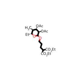 CCOC(=O)C(CCCOC1O[C@H](CC)[C@@H](C)[C@H](OC(C)=O)[C@H]1OC(C)=O)C(=O)OCC